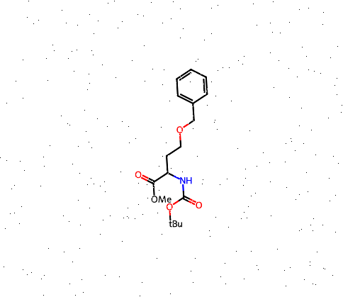 COC(=O)C(CCOCc1ccccc1)NC(=O)OC(C)(C)C